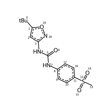 CC(C)(C)c1cc(NC(=O)Nc2ccc(S(C)(=O)=O)cc2)no1